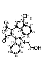 Cn1cc(C2=C(c3cn(CCO)c4ccccc34)C(=O)OC2=O)c2ccccc21